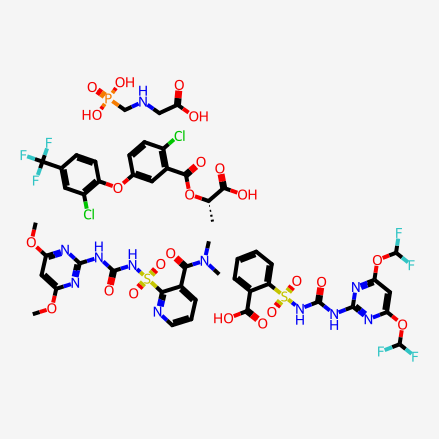 COc1cc(OC)nc(NC(=O)NS(=O)(=O)c2ncccc2C(=O)N(C)C)n1.C[C@H](OC(=O)c1cc(Oc2ccc(C(F)(F)F)cc2Cl)ccc1Cl)C(=O)O.O=C(Nc1nc(OC(F)F)cc(OC(F)F)n1)NS(=O)(=O)c1ccccc1C(=O)O.O=C(O)CNCP(=O)(O)O